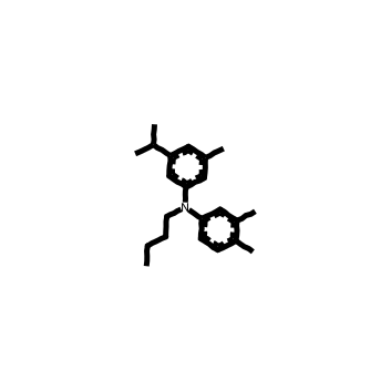 CCCCN(c1cc(C)cc(C(C)C)c1)c1ccc(C)c(C)c1